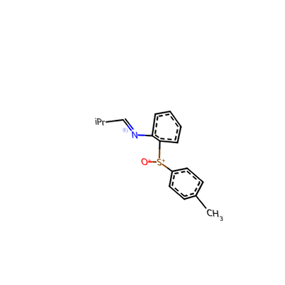 Cc1ccc([S+]([O-])c2ccccc2/N=C/C(C)C)cc1